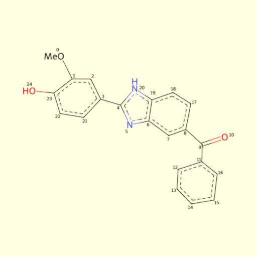 COc1cc(-c2nc3cc(C(=O)c4ccccc4)ccc3[nH]2)ccc1O